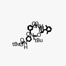 Cc1cccc(C)c1-c1cc2nc(n1)NS(=O)(=O)c1cccc(c1)C(=O)N(C1CCC(NC(=O)OC(C)(C)C)CC1)[C@H](CC(C)(C)C)CO2